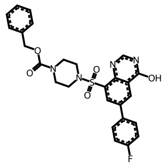 O=C(OCc1ccccc1)N1CCN(S(=O)(=O)c2cc(-c3ccc(F)cc3)cc3c(O)ncnc23)CC1